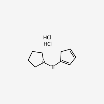 C1=CC[C]([Ti][P]2CCCC2)=C1.Cl.Cl